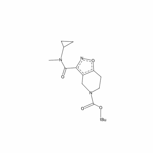 CN(C(=O)c1noc2c1CN(C(=O)OC(C)(C)C)CC2)C1CC1